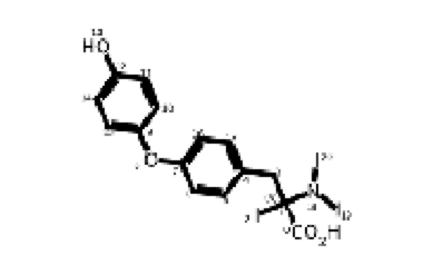 O=C(O)[C@@](I)(Cc1ccc(Oc2ccc(O)cc2)cc1)N(I)I